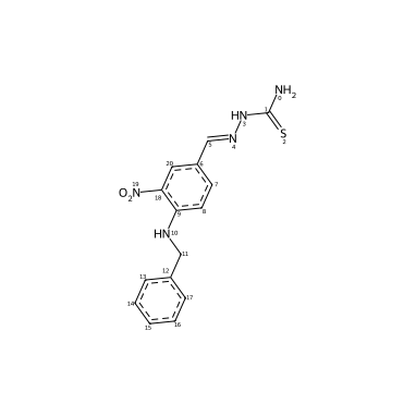 NC(=S)N/N=C/c1ccc(NCc2ccccc2)c([N+](=O)[O-])c1